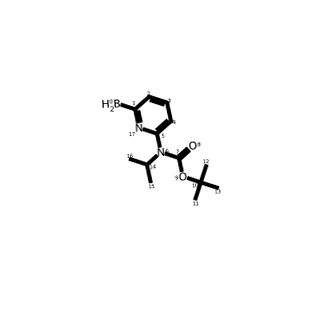 Bc1cccc(N(C(=O)OC(C)(C)C)C(C)C)n1